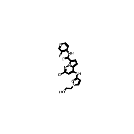 O=C(Nc1ccncc1F)c1ccc2c(Nc3ccn(CCO)n3)cc(Cl)nn12